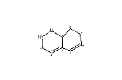 C1=CC2=CCN[N]C2CC1